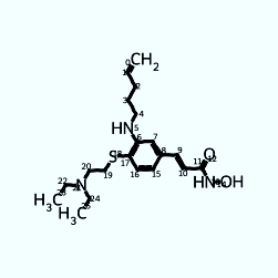 C=CCCCNc1cc(C=CC(=O)NO)ccc1SCCN(CC)CC